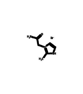 Cc1[nH]cc[n+]1CC(N)=O.[Br-]